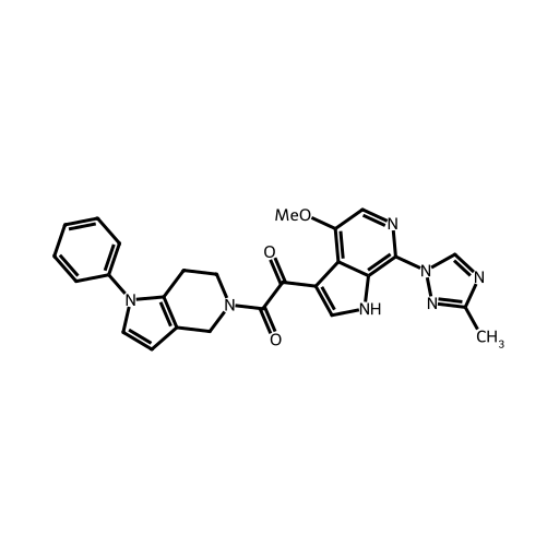 COc1cnc(-n2cnc(C)n2)c2[nH]cc(C(=O)C(=O)N3CCc4c(ccn4-c4ccccc4)C3)c12